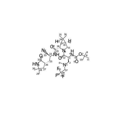 CN(C[C@H](NC(=O)OC(C)(C)C)C(=O)N1C[C@H]2[C@@H]([C@H]1C(=O)N[C@H](C#N)C[C@@H]1CC(C)(C)NC1=O)C2(C)C)CC(F)(F)F